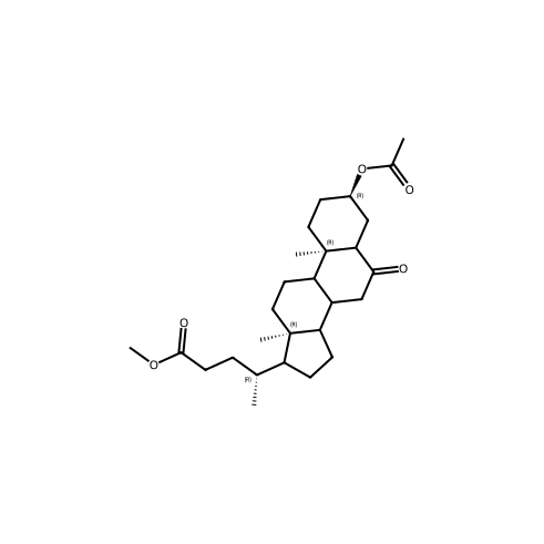 COC(=O)CC[C@@H](C)C1CCC2C3CC(=O)C4C[C@H](OC(C)=O)CC[C@]4(C)C3CC[C@@]21C